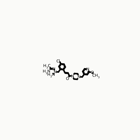 COc1cc(CN2CCN(C(=O)/C=C/c3ccc(Cl)cc3CN(N)/N=C(/C)N)CC2)ccn1